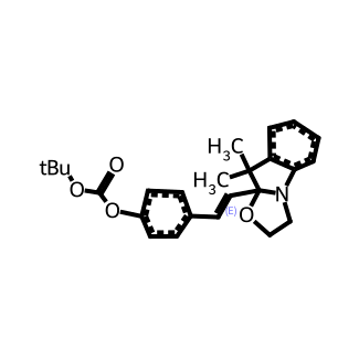 CC(C)(C)OC(=O)Oc1ccc(/C=C/C23OCCN2c2ccccc2C3(C)C)cc1